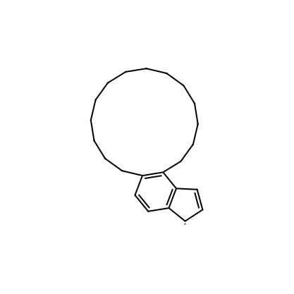 [CH]1C=Cc2c1ccc1c2CCCCCCCCCCCCCC1